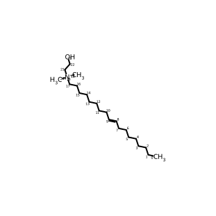 CCCCCCCCC=CCCCCCCCC[N+](C)(C)CCO